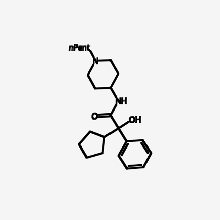 CCCCCN1CCC(NC(=O)C(O)(c2ccccc2)C2CCCC2)CC1